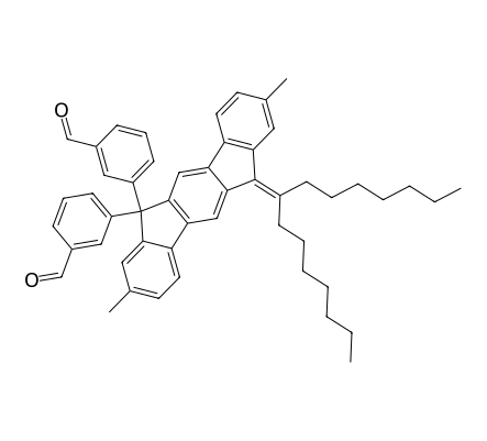 CCCCCCCC(CCCCCCC)=C1c2cc(C)ccc2-c2cc3c(cc21)-c1ccc(C)cc1C3(c1cccc(C=O)c1)c1cccc(C=O)c1